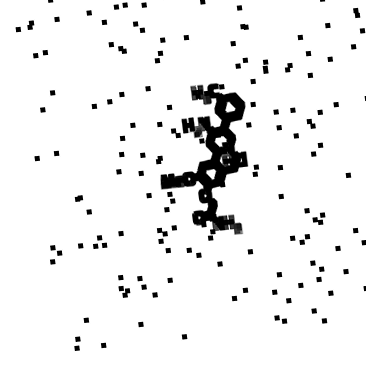 COc1cc2c(cc1OCC(N)=O)CCN1CC(c3cccc(C)c3)C(N)CC21.Cl